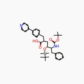 CC(C)(C)OC(=O)NC(Cc1ccccc1)C(CC(Cc1ccc(-c2ccncc2)cc1)C(=O)O)O[Si](C)(C)C(C)(C)C